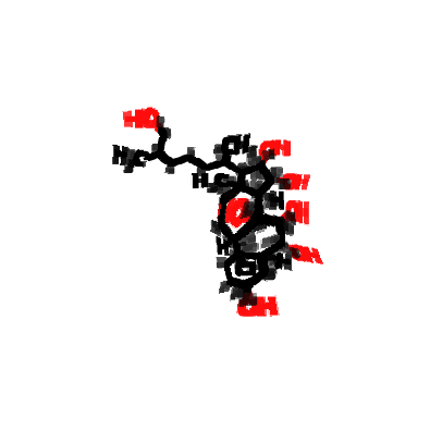 CC(CO)CCCC(C)[C@H]1[C@@H](O)[C@H](O)[C@@H]2[C@]1(C)CC[C@@H]1[C@@]3(C)CC[C@H](O)C[C@@H]3[C@@H](O)[C@H](O)[C@]12O